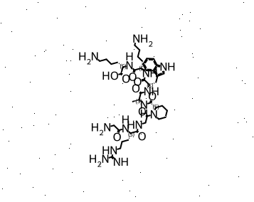 C[C@H](NC(=O)[C@@H]1CCCCN1C(=O)CNC(=O)[C@H](CCCNC(=N)N)NC(=O)CN)C(=O)N[C@@H](Cc1c[nH]c2ccccc12)C(=O)N[C@@H](CCCCN)C(=O)N[C@@H](CCCCN)C(=O)O